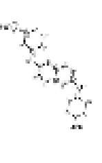 CC(C)(C)C1CCC(Oc2ccc3cc(CN4CCC[C@H](C(=O)O)C4)ccc3c2)CC1